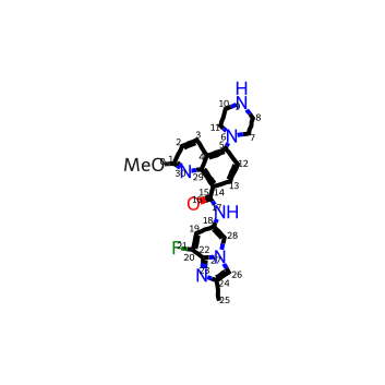 COc1ccc2c(N3CCNCC3)ccc(C(=O)Nc3cc(F)c4nc(C)cn4c3)c2n1